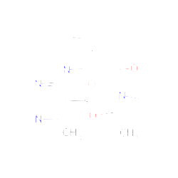 Cc1n[c]nc(N2CCCCC2)c1C(=O)OC(C)N1CCOCC1